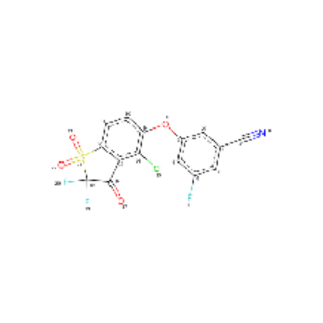 N#Cc1cc(F)cc(Oc2ccc3c(c2Cl)C(=O)C(F)(F)S3(=O)=O)c1